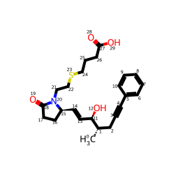 C[C@@H](CC#Cc1ccccc1)[C@H](O)C=C[C@H]1CCC(=O)N1CCSCCCC(=O)O